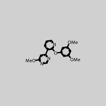 COc1cc(OC)cc(Oc2ncccc2-c2cc(OC)ncn2)c1